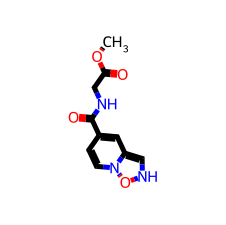 COC(=O)CNC(=O)C1=CC2=CNON2C=C1